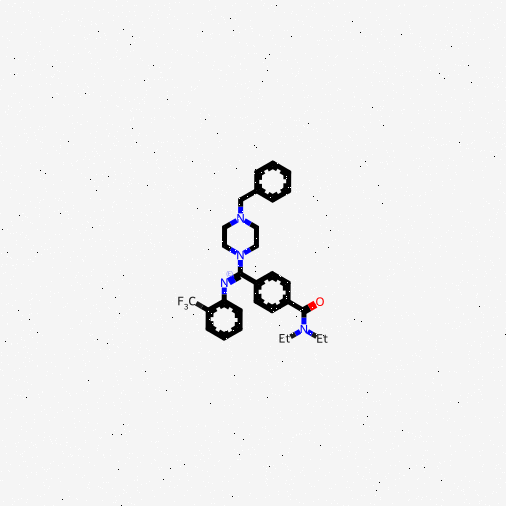 CCN(CC)C(=O)c1ccc(/C(=N\c2ccccc2C(F)(F)F)N2CCN(Cc3ccccc3)CC2)cc1